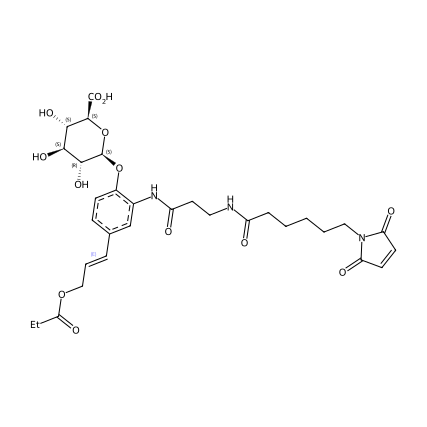 CCC(=O)OC/C=C/c1ccc(O[C@@H]2O[C@H](C(=O)O)[C@@H](O)[C@H](O)[C@H]2O)c(NC(=O)CCNC(=O)CCCCCN2C(=O)C=CC2=O)c1